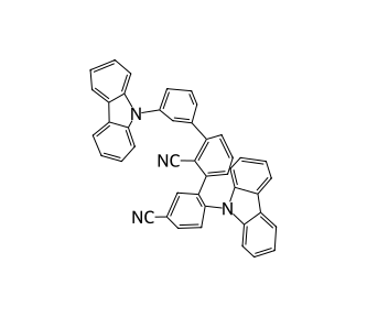 N#Cc1ccc(-n2c3ccccc3c3ccccc32)c(-c2cccc(-c3cccc(-n4c5ccccc5c5ccccc54)c3)c2C#N)c1